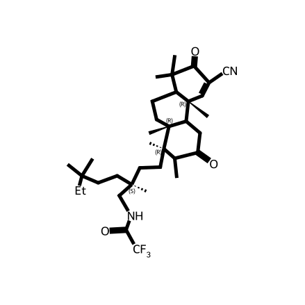 CCC(C)(C)CC[C@@](C)(CC[C@]1(C)C(C)C(=O)CC2[C@@]3(C)C=C(C#N)C(=O)C(C)(C)C3CC[C@]21C)CNC(=O)C(F)(F)F